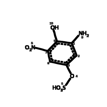 Nc1cc(OS(=O)(=O)O)cc([N+](=O)[O-])c1O